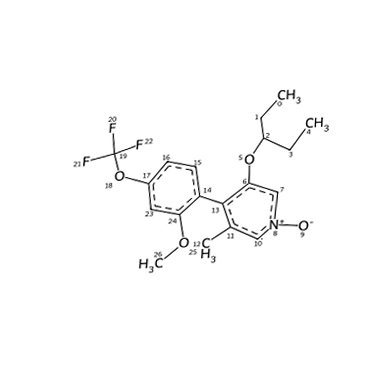 CCC(CC)Oc1c[n+]([O-])[c]c(C)c1-c1ccc(OC(F)(F)F)cc1OC